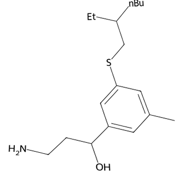 CCCCC(CC)CSc1cc(C)cc(C(O)CCN)c1